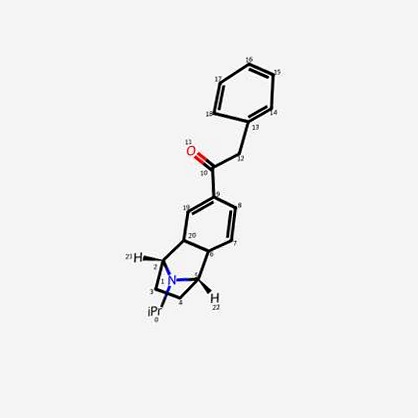 CC(C)N1[C@@H]2CC[C@H]1C1C=CC(C(=O)Cc3ccccc3)=CC12